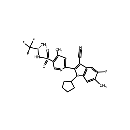 Cc1cc2c(cc1F)c(C#N)c(-c1cc(C)c(S(=O)(=O)N[C@@H](C)C(F)(F)F)cn1)n2C1CCCC1